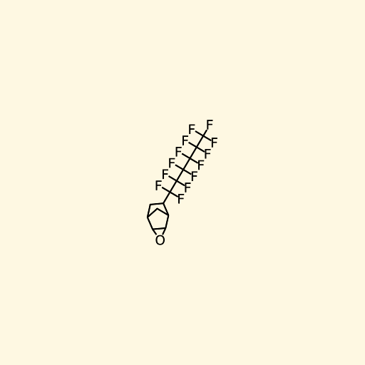 FC(F)(F)C(F)(F)C(F)(F)C(F)(F)C(F)(F)C(F)(F)C1CC2CC1C1OC21